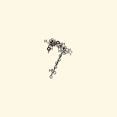 CNC(Cc1ccc(F)cc1)CC(C)(C)C(=O)NSc1ccc(NC(=O)CNC(=O)C(NC(=O)CCOCCOCCOCCOCCNC(=O)CCC=O)C(C)C)cc1